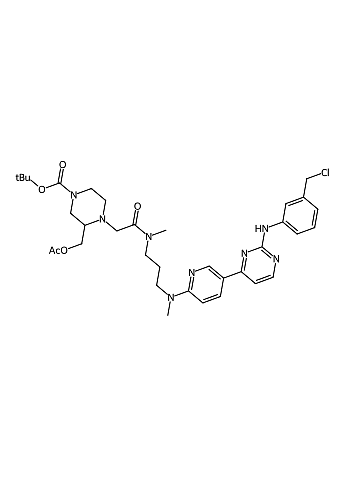 CC(=O)OCC1CN(C(=O)OC(C)(C)C)CCN1CC(=O)N(C)CCCN(C)c1ccc(-c2ccnc(Nc3cccc(CCl)c3)n2)cn1